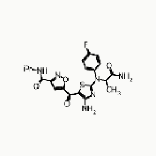 CC(C)NC(=O)c1cc(C(=O)c2sc(N(c3ccc(F)cc3)C(C)C(N)=O)nc2N)on1